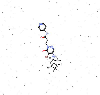 C[C@@H]1[C@H]2C[C@@H](C[C@H]1Nc1cnn(CCC(=O)Nc3ccncc3)c(=O)c1Br)C2(C)C